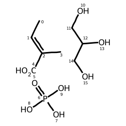 CC=C(C)C(=O)O.O=P(O)(O)O.OCC(O)CO